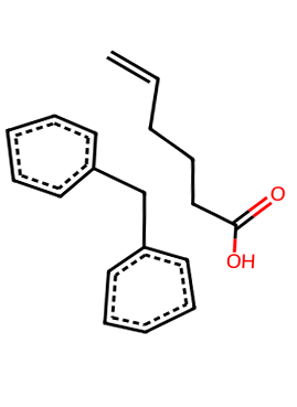 C=CCCCC(=O)O.c1ccc(Cc2ccccc2)cc1